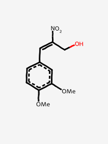 COc1ccc(C=C(CO)[N+](=O)[O-])cc1OC